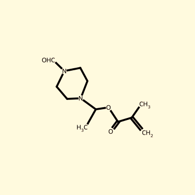 C=C(C)C(=O)OC(C)N1CCN(C=O)CC1